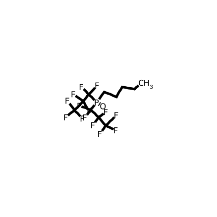 CCCCCP(=O)(C(F)(F)C(F)(F)C(F)(F)F)C(F)(F)C(F)(F)C(F)(F)F